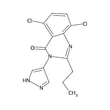 CCCc1nc2c(Cl)ccc(Cl)c2c(=O)n1-c1cn[nH]c1